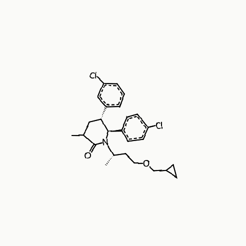 CC1C[C@H](c2cccc(Cl)c2)[C@@H](c2ccc(Cl)cc2)N([C@@H](C)CCOCC2CC2)C1=O